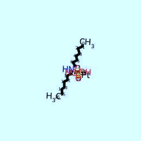 CCCCCCCCNCCCCCCCC.O=S(=O)(O)O.[Pt]